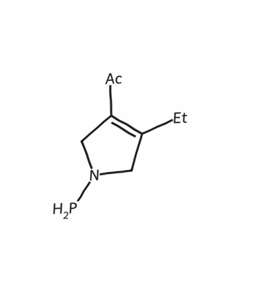 CCC1=C(C(C)=O)CN(P)C1